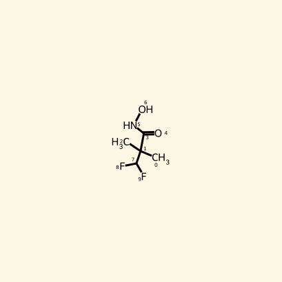 CC(C)(C(=O)NO)C(F)F